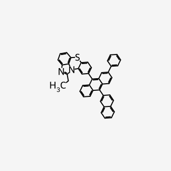 CCc1nc2cccc3c2n1-c1cc(-c2c4ccccc4c(-c4ccc5ccccc5c4)c4ccc(-c5ccccc5)cc24)ccc1S3